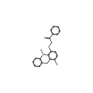 O=C(COc1ccc(Cl)c2c1[S+]([O-])c1ccccc1C2)c1ccccc1